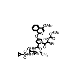 C=C[C@@H]1C[C@]1(NC(=O)C1C[C@@H](Oc2ncc(OC)c3ccccc23)CN1C(=O)C(NC(=O)OC(C)(C)C)C(C)C)C(=O)NS(=O)(=O)C1CC1